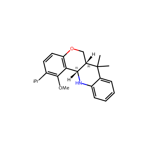 COc1c(C(C)C)ccc2c1[C@H]1Nc3ccccc3C(C)(C)[C@H]1CO2